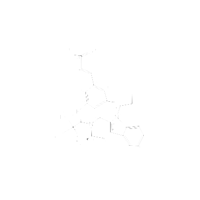 CCCn1c2c(c3ccccc31)C[C@@H](C)N(CC(C)(C)F)[C@@H]2c1c(F)cc(/C=C/C(=O)O)cc1F